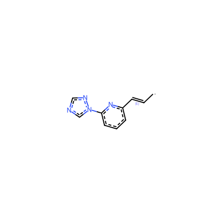 [CH2]/C=C/c1cccc(-n2cncn2)n1